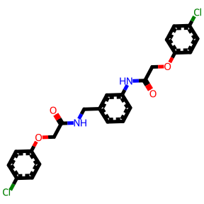 O=C(COc1ccc(Cl)cc1)NCc1cccc(NC(=O)COc2ccc(Cl)cc2)c1